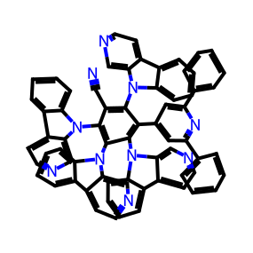 N#Cc1c(-n2c3ccccc3c3ccncc32)c(-c2cc(-c3ccccc3)nc(-c3ccccc3)c2)c(-n2c3ccccc3c3ccncc32)c(-n2c3ccccc3c3ccncc32)c1-n1c2ccccc2c2ccncc21